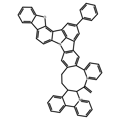 C=C1C2C(CCc3cc4c(cc3-c3cccc[n+]31)c1cc(-c3ccccc3)cc3c5c6oc7ccccc7c6ccc5n4c13)c1ccccc1-c1cccc[n+]12